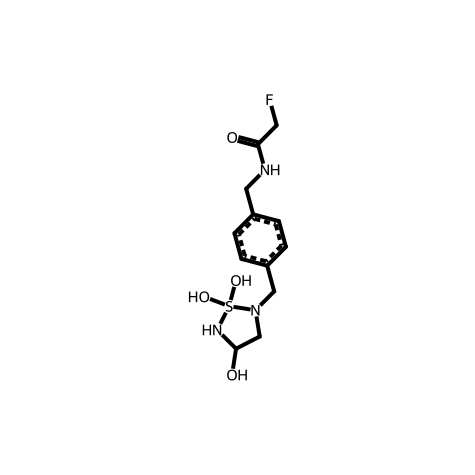 O=C(CF)NCc1ccc(CN2CC(O)NS2(O)O)cc1